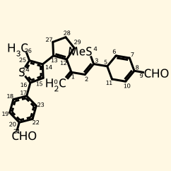 C=C(/C=C(\SC)C1C=CC(C=O)=CC1)C1=C(c2cc(-c3ccc(C=O)cc3)sc2C)CCC1